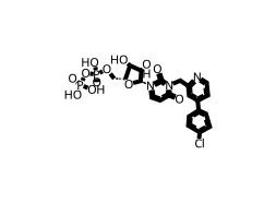 O=c1ccn([C@@H]2O[C@H](COP(=O)(O)OP(=O)(O)O)C(O)C2O)c(=O)n1Cc1cc(-c2ccc(Cl)cc2)ccn1